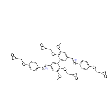 COc1cc(/C=N/c2ccc(OCC3CO3)cc2)cc(-c2cc(/C=N/c3ccc(OCC4CO4)cc3)cc(OC)c2OCC2CO2)c1OCC1CO1